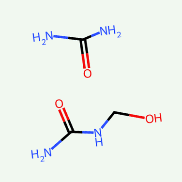 NC(=O)NCO.NC(N)=O